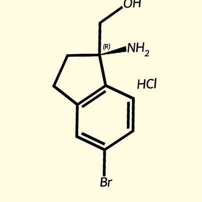 Cl.N[C@]1(CO)CCc2cc(Br)ccc21